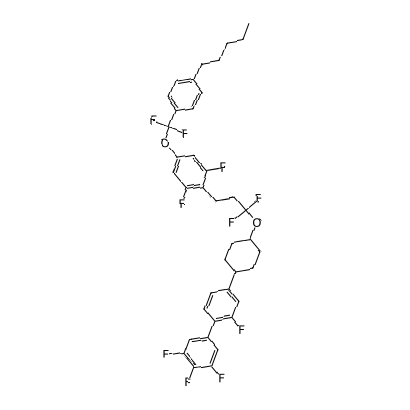 CCCCCc1ccc(C(F)(F)Oc2cc(F)c(CCC(F)(F)OC3CCC(c4ccc(-c5cc(F)c(F)c(F)c5)c(F)c4)CC3)c(F)c2)cc1